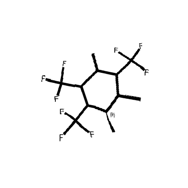 CC1C(C(F)(F)F)C(C)[C@@H](C)C(C(F)(F)F)C1C(F)(F)F